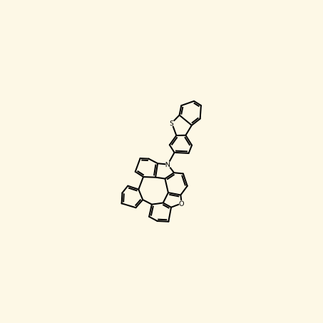 c1ccc2c(c1)sc1cc(-n3c4cccc5c6ccccc6c6cccc7oc8ccc3c(c8c76)c54)ccc12